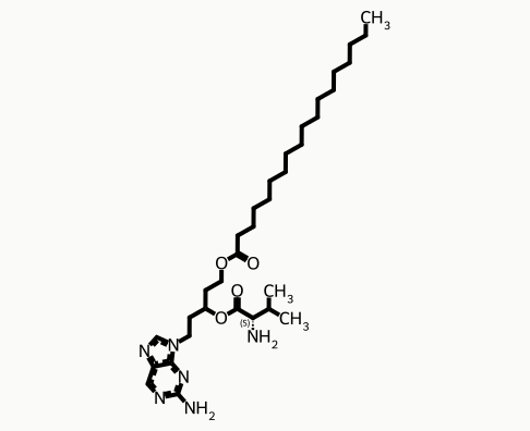 CCCCCCCCCCCCCCCCCC(=O)OCCC(CCn1cnc2cnc(N)nc21)OC(=O)[C@@H](N)C(C)C